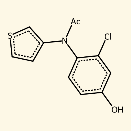 CC(=O)N(c1ccsc1)c1ccc(O)cc1Cl